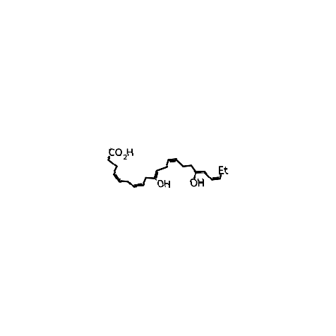 CC/C=C\C[C@@H](O)CC/C=C\C/C=C(\O)C/C=C\C/C=C\CCC(=O)O